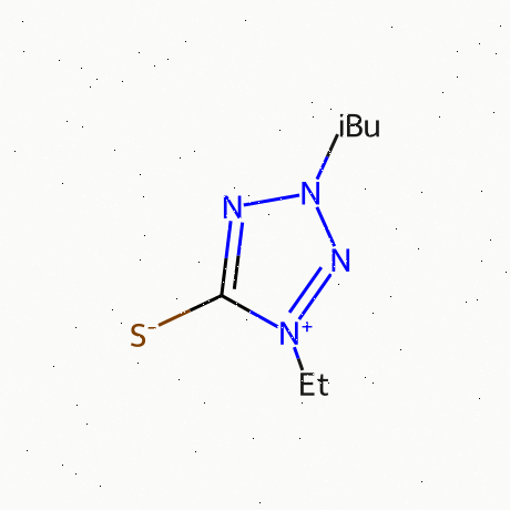 CCC(C)n1nc([S-])[n+](CC)n1